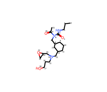 CCCNC(=O)N(CC1CCCC(CN(CCCO)CC2CO2)C1)C(C)=O